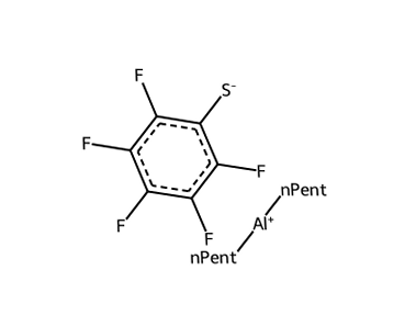 CCCC[CH2][Al+][CH2]CCCC.Fc1c(F)c(F)c([S-])c(F)c1F